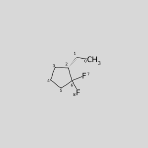 CC[C@H]1CCCC1(F)F